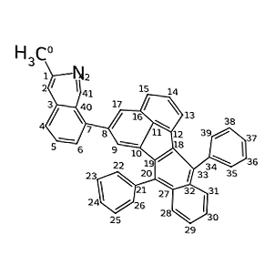 Cc1cc2cccc(-c3cc4c5c(cccc5c3)-c3c-4c(-c4ccccc4)c4ccccc4c3-c3ccccc3)c2cn1